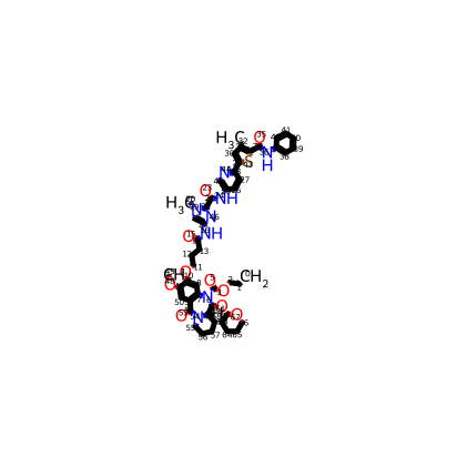 C=CCOC(=O)N1c2cc(OCCCC(=O)Nc3cn(C)c(C(=O)Nc4ccc(-c5cc(C)c(C(=O)Nc6ccccc6)s5)nc4)n3)c(OC)cc2C(=O)N2CCCC[C@H]2C1OC1CCCCO1